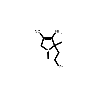 CC(C)CCC1(C)C(N)=C(C#N)CN1C